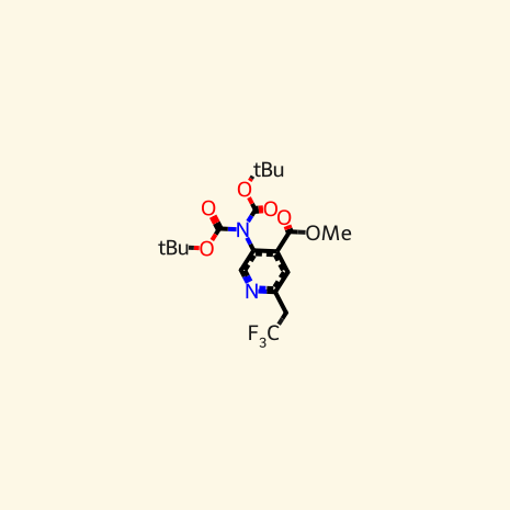 COC(=O)c1cc(CC(F)(F)F)ncc1N(C(=O)OC(C)(C)C)C(=O)OC(C)(C)C